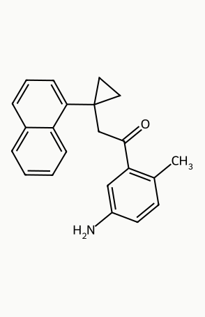 Cc1ccc(N)cc1C(=O)CC1(c2cccc3ccccc23)CC1